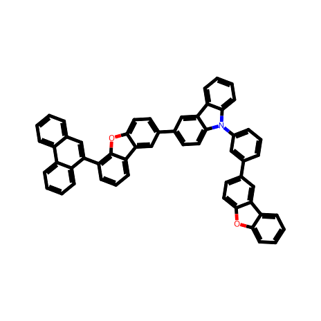 c1cc(-c2ccc3oc4ccccc4c3c2)cc(-n2c3ccccc3c3cc(-c4ccc5oc6c(-c7cc8ccccc8c8ccccc78)cccc6c5c4)ccc32)c1